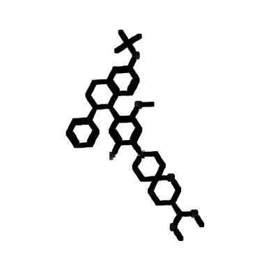 COc1cc(N2CCC3(CC[C@H](C(OC)OC)CO3)CC2)c(F)cc1[C@@H]1c2ccc(OC(C)(C)C)cc2CC[C@@H]1c1ccccc1